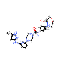 Cc1cc(Nc2cccc(N3CCN(C(=O)Nc4ccc(N5CCOCC5O)cc4)CC3)n2)n[nH]1